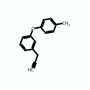 C#CCc1cccc(Oc2ccc(C)cc2)c1